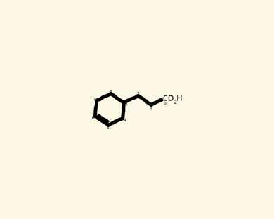 O=C(O)CCC1CC=CCC1